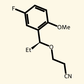 CC[C@H](OCCC#N)c1cc(F)ccc1OC